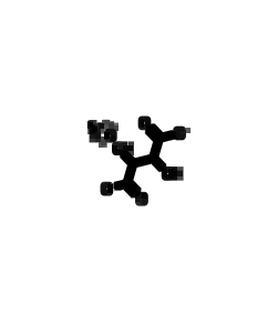 O.O=C([O-])C(O)C(O)C(=O)[O-].[Sn+2]